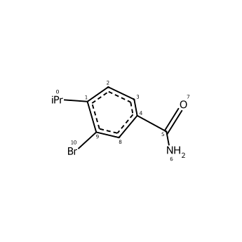 CC(C)c1ccc(C(N)=O)cc1Br